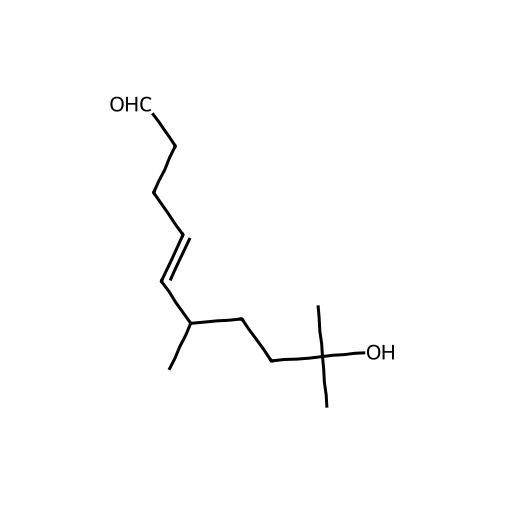 CC(C=CCCC=O)CCC(C)(C)O